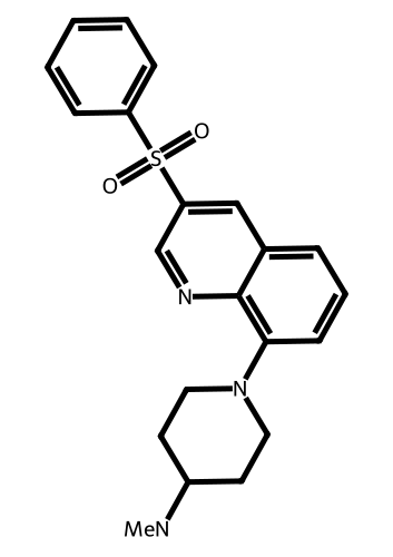 CNC1CCN(c2cccc3cc(S(=O)(=O)c4ccccc4)cnc23)CC1